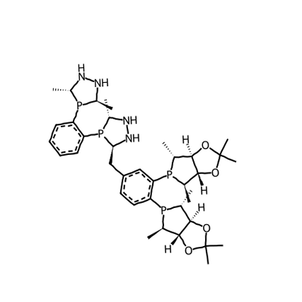 C[C@@H]1NN[C@@H](C)P1c1ccccc1P1[C@H](C)NN[C@H]1Cc1ccc(P2[C@H](C)[C@H]3OC(C)(C)O[C@@H]3[C@H]2C)c(P2[C@H](C)[C@H]3OC(C)(C)O[C@@H]3[C@H]2C)c1